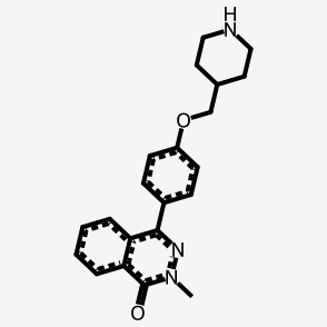 Cn1nc(-c2ccc(OCC3CCNCC3)cc2)c2ccccc2c1=O